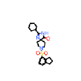 O=C1NC(C2CCCCC2)=NC12CCN(S(=O)(=O)c1cccc3c1CCC3)CC2